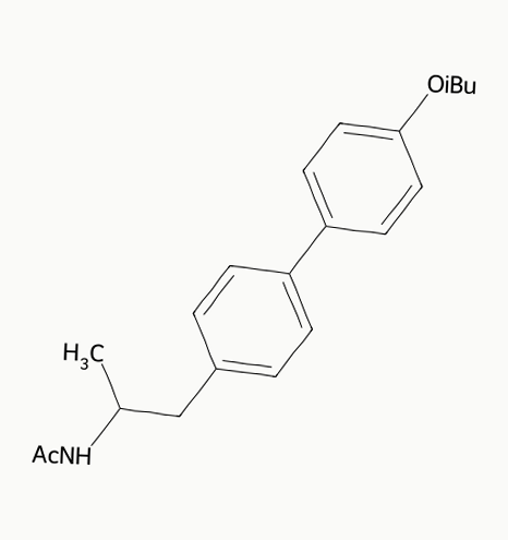 CC(=O)NC(C)Cc1ccc(-c2ccc(OCC(C)C)cc2)cc1